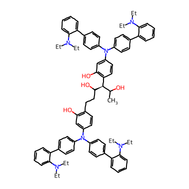 CCN(CC)c1ccccc1-c1ccc(N(c2ccc(-c3ccccc3N(CC)CC)cc2)c2ccc(CCC(O)[C@@H](c3ccc(N(c4ccc(-c5ccccc5N(CC)CC)cc4)c4ccc(-c5ccccc5N(CC)CC)cc4)cc3O)C(C)O)c(O)c2)cc1